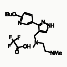 CNCCN(C)Cc1c[nH]nc1-c1ccc(OCC(C)C)nc1.O=C(O)C(F)(F)F